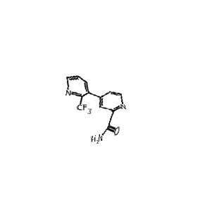 NC(=O)c1cc(-c2cccnc2C(F)(F)F)ccn1